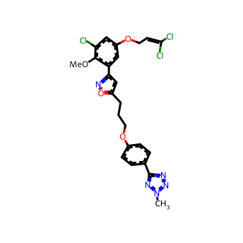 COc1c(Cl)cc(OCC=C(Cl)Cl)cc1-c1cc(CCCOc2ccc(-c3nnn(C)n3)cc2)on1